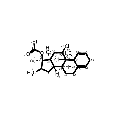 CCC(=O)O[C@]1(C(C)=O)C(C)C[C@H]2[C@@H]3CCC4=CCC=C[C@]4(C)[C@@]3(Cl)C(Cl)C[C@@]21C